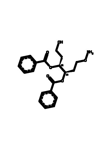 NOCC[C@@H](OC(=O)c1ccccc1)[C@@H](CCO)OC(=O)c1ccccc1